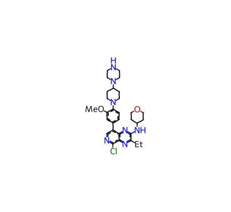 CCc1nc2c(Cl)ncc(-c3ccc(N4CCC(N5CCNCC5)CC4)c(OC)c3)c2nc1NC1CCOCC1